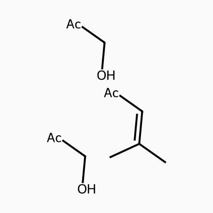 CC(=O)C=C(C)C.CC(=O)CO.CC(=O)CO